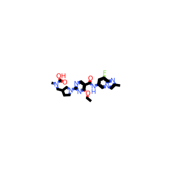 CCOc1nc(N2CCC(CN(C)C(=O)O)C2)ncc1C(=O)Nc1cc(F)c2nc(C)cn2c1